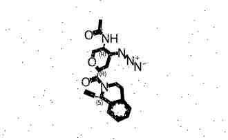 C=C[C@H]1c2ccccc2CCN1C(=O)[C@H]1CC(N=[N+]=[N-])[C@@H](NC(C)=O)CO1